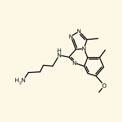 COc1cc(C)c2c(c1)nc(NCCCCN)c1nnc(C)n12